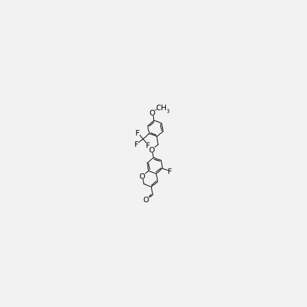 COc1ccc(COc2cc(F)c3c(c2)OCC(C=O)=C3)c(C(F)(F)F)c1